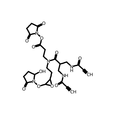 C#CC(=O)NCC(CNC(=O)C#C)C(=O)N(CCC(=O)ON1C(=O)CCC1=O)CCC1OC1ON1C(=O)CCC1O